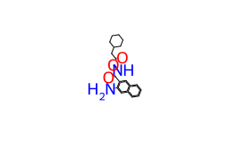 Nc1cc2ccccc2cc1C(=O)NOC(=O)CC1CCCCC1